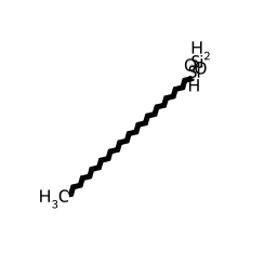 CCCCCCCCCCCCCCCCCCCCCCCCCCCC[SiH]1O[SiH2]O1